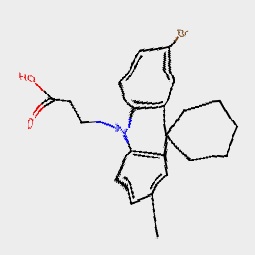 Cc1ccc2c(c1)C1(CCCCC1)c1cc(Br)ccc1N2CCC(=O)O